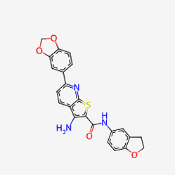 Nc1c(C(=O)Nc2ccc3c(c2)CCO3)sc2nc(-c3ccc4c(c3)OCO4)ccc12